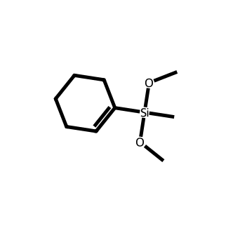 CO[Si](C)(OC)C1=CCCCC1